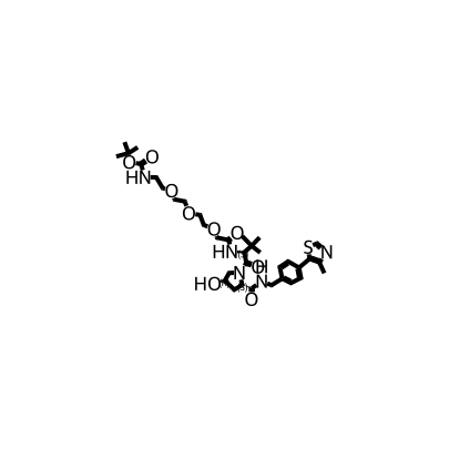 Cc1ncsc1-c1ccc(CNC(=O)[C@@H]2C[C@@H](O)CN2C(=O)[C@@H](NC(=O)COCCOCCOCCNC(=O)OC(C)(C)C)C(C)(C)C)cc1